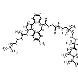 C=C(CCCNC(C)C)Cn1nnc2c1-c1ccc(C)cc1CN(C(=O)CCC(=O)NCCC(C)(C)OCCC(C)(C)C(=O)NC(C)C(C)C(C)C)c1ccccc1-2